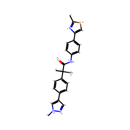 Cc1nc(-c2ccc(NC(=O)C(C)(c3ccc(-c4cnn(C)c4)cc3)C(C)C)cc2)cs1